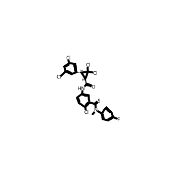 CN(C(=S)c1cc(NC(=O)[C@H]2[C@H](c3cc(Cl)cc(Cl)c3)C2(Cl)Cl)ccc1Cl)c1ccc(F)cc1